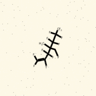 CC(CF)(C(F)(F)C(F)=C(F)F)C(F)(F)C(F)(F)C(F)(F)F